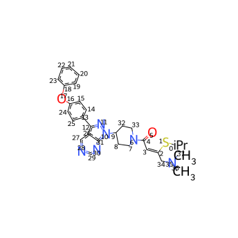 CC(C)S/C(=C\C(=O)N1CCC(n2nc(-c3ccc(Oc4ccccc4)cc3)c3cncnc32)CC1)CN(C)C